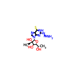 C#C[C@@]1(O)C(O)[C@@H]([C@H](C)O)O[C@H]1n1cnc2c(=S)[nH]c(N=NN)nc21